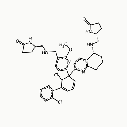 COc1nc(C2(c3ccc4c(n3)CCC[C@H]4NC[C@H]3CCC(=O)N3)C=CC=C(c3ccccc3Cl)C2Cl)ccc1CNC[C@H]1CCC(=O)N1